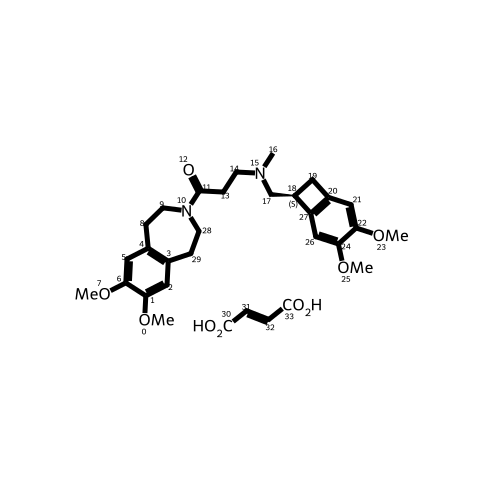 COc1cc2c(cc1OC)CCN(C(=O)CCN(C)C[C@H]1Cc3cc(OC)c(OC)cc31)CC2.O=C(O)C=CC(=O)O